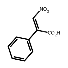 O=C(O)C(=C[N+](=O)[O-])c1ccccc1